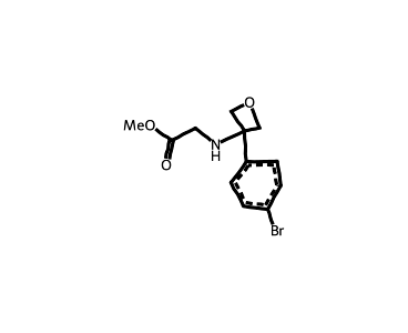 COC(=O)CNC1(c2ccc(Br)cc2)COC1